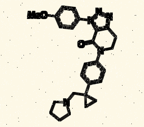 COc1ccc(-n2nnc3c2C(=O)N(c2ccc(C4(CN5CCCC5)CC4)cc2)CC3)cc1